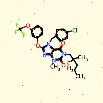 CCCC(C)(C)Cn1c(=O)c2c(nc(Oc3cccc(OC(F)(F)F)c3)n2Cc2ccc(Cl)cc2)n(C)c1=O